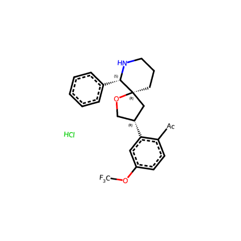 CC(=O)c1ccc(OC(F)(F)F)cc1[C@@H]1CO[C@]2(CCCN[C@H]2c2ccccc2)C1.Cl